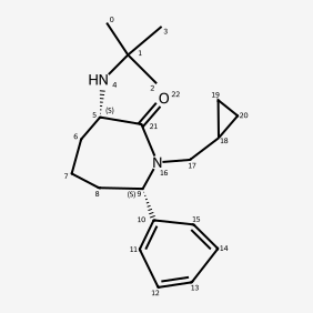 CC(C)(C)N[C@H]1CCC[C@@H](c2ccccc2)N(CC2CC2)C1=O